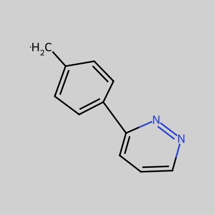 [CH2]c1ccc(-c2cccnn2)cc1